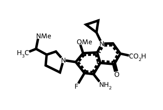 CNC(C)C1CCN(c2c(F)c(N)c3c(=O)c(C(=O)O)cn(C4CC4)c3c2OC)C1